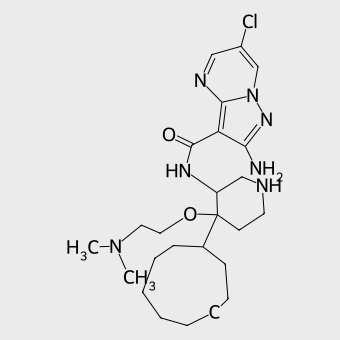 CN(C)CCOC1(C2CCCCCCCC2)CCNCC1NC(=O)c1c(N)nn2cc(Cl)cnc12